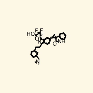 CN(C)Cc1cccc(C=Cc2n[nH]c3cc([C@@H]4C[C@@]45C(=O)Nc4ccccc45)ccc23)c1.O=C(O)C(F)(F)F